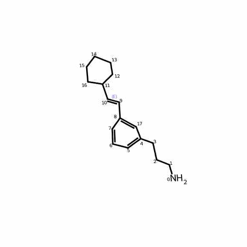 NCCCc1cccc(/C=C/C2CCCCC2)c1